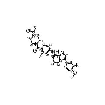 COc1ccc(-c2cnc3c(Nc4ccc(C(=O)N5CCN(C(C)=O)CC5)c(C)c4)nccn23)cc1F